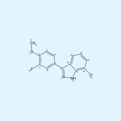 COc1ccc(-c2n[nH]c3c(Cl)cccc23)cc1F